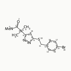 CNC(=O)[N+](C)(C)c1nnc(SCc2ccc(Br)cc2)s1